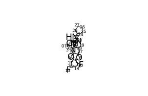 C[C@H](O)Cn1c(=O)c(Oc2ccc(F)cc2F)cc2cnc(NC3CCCCC3)nc21